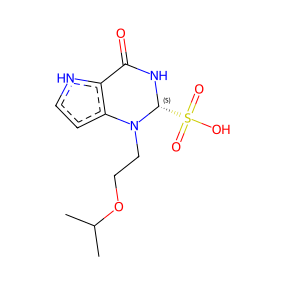 CC(C)OCCN1c2cc[nH]c2C(=O)N[C@@H]1S(=O)(=O)O